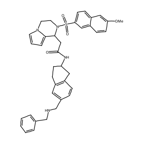 COc1ccc2cc(S(=O)(=O)N3CCn4cccc4C3CC(=O)NC3CCc4cc(CNCc5ccccc5)ccc4C3)ccc2c1